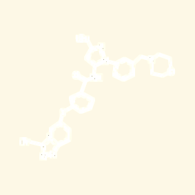 CC(C)c1nnc2ccc(Sc3cccc(C(=O)Nc4cc(C(C)(C)C)nn4-c4cccc(CN5CCOCC5)c4)c3)cn12